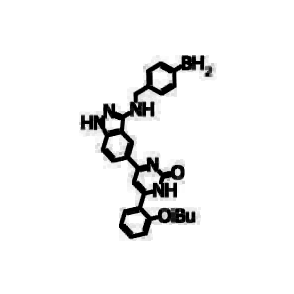 Bc1ccc(CNc2n[nH]c3ccc(-c4cc(-c5ccccc5OCC(C)C)[nH]c(=O)n4)cc23)cc1